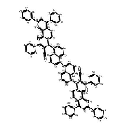 N#Cc1c(-c2ccccc2)nc2c(ccc3c(-c4ccccc4)cc(-c4ccccc4)nc32)c1-c1cccc2c(-c3cccc4c(-c5c(C#N)c(-c6ccccc6)nc6c5ccc5c(-c7ccccc7)cc(-c7ccccc7)nc56)cccc34)cccc12